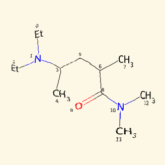 CCN(CC)C(C)CC(C)C(=O)N(C)C